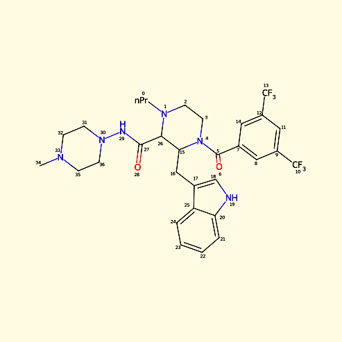 CCCN1CCN(C(=O)c2cc(C(F)(F)F)cc(C(F)(F)F)c2)C(Cc2c[nH]c3ccccc23)C1C(=O)NN1CCN(C)CC1